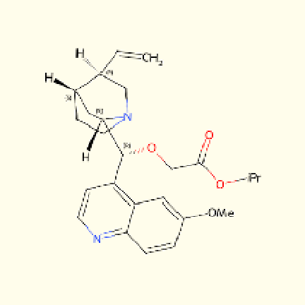 C=C[C@H]1CN2CC[C@H]1C[C@H]2[C@H](OCC(=O)OC(C)C)c1ccnc2ccc(OC)cc12